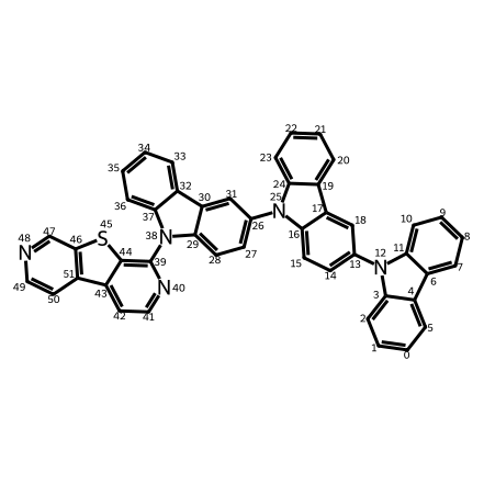 c1ccc2c(c1)c1ccccc1n2-c1ccc2c(c1)c1ccccc1n2-c1ccc2c(c1)c1ccccc1n2-c1nccc2c1sc1cnccc12